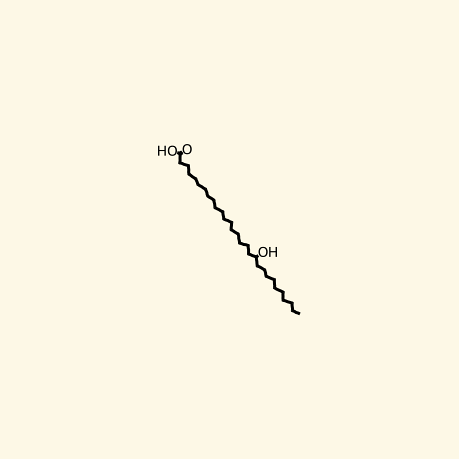 CCCCCCCCCCC(O)CCCCCCCCCCCCCCCCCC(=O)O